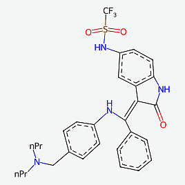 CCCN(CCC)Cc1ccc(NC(=C2C(=O)Nc3ccc(NS(=O)(=O)C(F)(F)F)cc32)c2ccccc2)cc1